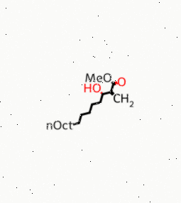 C=C(C(=O)OC)C(O)CCCCCCCCCCCCC